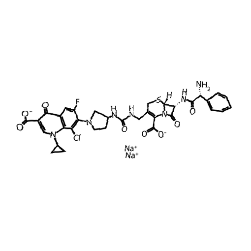 N[C@@H](C(=O)N[C@@H]1C(=O)N2C(C(=O)[O-])=C(CNC(=O)NC3CCN(c4c(F)cc5c(=O)c(C(=O)[O-])cn(C6CC6)c5c4Cl)C3)CS[C@H]12)c1ccccc1.[Na+].[Na+]